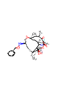 CC(=O)/N=C1\[C@H](C)C[C@]2(C)C[C@@H](C)C(=O)[C@](C)(F)C(=O)O[C@H](I)[C@@](C)(O)[C@H](CC/C(=N\OCc3ccccc3)CO2)[C@H]1C